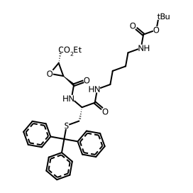 CCOC(=O)[C@H]1O[C@@H]1C(=O)N[C@@H](CSC(c1ccccc1)(c1ccccc1)c1ccccc1)C(=O)NCCCCNC(=O)OC(C)(C)C